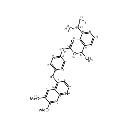 COc1cc2nccc(Oc3ccc(NC(=O)OC(C)c4cccc(N(C)C)c4)cc3)c2cc1OC